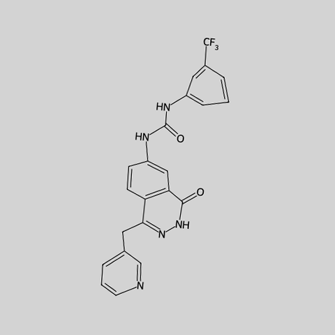 O=C(Nc1cccc(C(F)(F)F)c1)Nc1ccc2c(Cc3cccnc3)n[nH]c(=O)c2c1